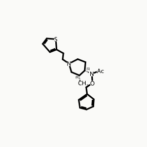 CC(=O)N(OCc1ccccc1)[C@H]1CCN(CCc2cccs2)C[C@H]1C